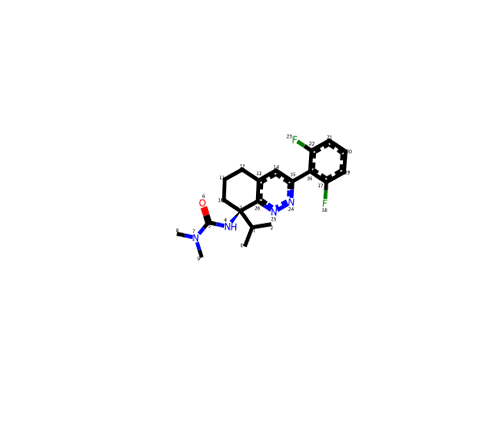 CC(C)[C@]1(NC(=O)N(C)C)CCCc2cc(-c3c(F)cccc3F)nnc21